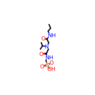 CCCNC(=O)CN(CC(=O)NCS(=O)(=O)O)C(C)C